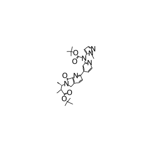 CC(C(=O)OC(C)(C)C)[C@@H](C)N1Cc2ccc(-c3ccnc(N(C(=O)OC(C)(C)C)c4ccnn4C)c3)nc2C1=O